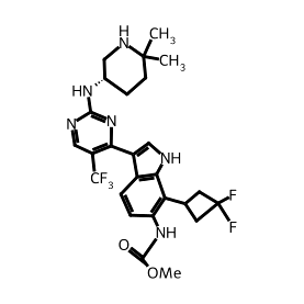 COC(=O)Nc1ccc2c(-c3nc(N[C@H]4CCC(C)(C)NC4)ncc3C(F)(F)F)c[nH]c2c1C1CC(F)(F)C1